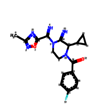 Cc1noc(C(=N)N2CCN(C(=O)c3ccc(F)cc3)C(C3CC3)C2=N)n1